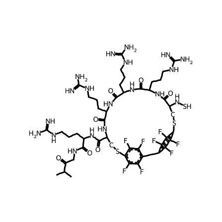 CC(C)C(=O)CNC(=O)C(CCCNC(=N)N)NC(=O)C1CSc2c(F)c(F)c(c(F)c2F)-c2c(F)c(F)c(c(F)c2F)SCC(NS)C(=O)NC(CCCNC(=N)N)C(=O)NC(CCCNC(=N)N)C(=O)NC(CCCNC(=N)N)C(=O)N1